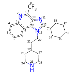 FC(F)(F)c1nc2ccccc2c2c1nc(C1CCCCC1)n2CCC1CCNCC1